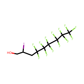 OCC(I)CC(F)(F)C(F)(F)C(F)(F)C(F)(F)C(F)(F)C(F)(F)F